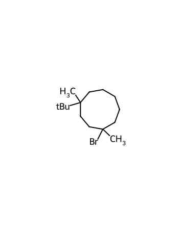 CC1(Br)CCCCCC(C)(C(C)(C)C)CC1